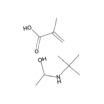 C=C(C)C(=O)O.CC(O)NC(C)(C)C